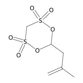 C=C(C)CC1OS(=O)(=O)CS(=O)(=O)O1